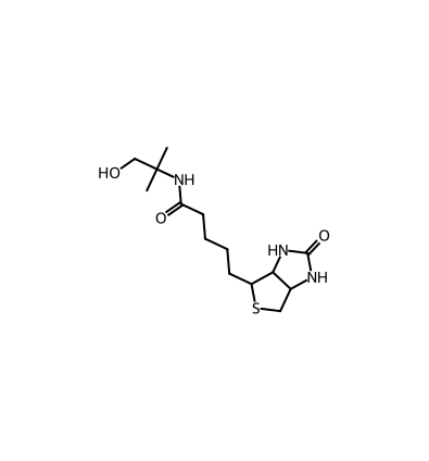 CC(C)(CO)NC(=O)CCCCC1SCC2NC(=O)NC21